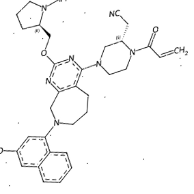 C=CC(=O)N1CCN(c2nc(OC[C@H]3CCCN3C(C)C)nc3c2CCCN(c2cc(O)cc4ccccc24)C3)C[C@@H]1CC#N